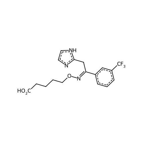 O=C(O)CCCCON=C(Cc1ncc[nH]1)c1cccc(C(F)(F)F)c1